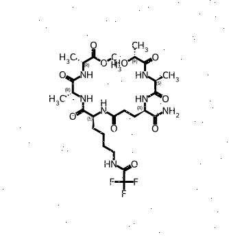 COC(=O)[C@@H](C)NC(=O)[C@@H](C)NC(=O)[C@H](CCCCNC(=O)C(F)(F)F)NC(=O)CC[C@@H](NC(=O)[C@H](C)NC(=O)[C@@H](C)O)C(N)=O